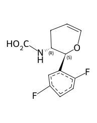 O=C(O)N[C@@H]1CC=CO[C@H]1c1cc(F)ccc1F